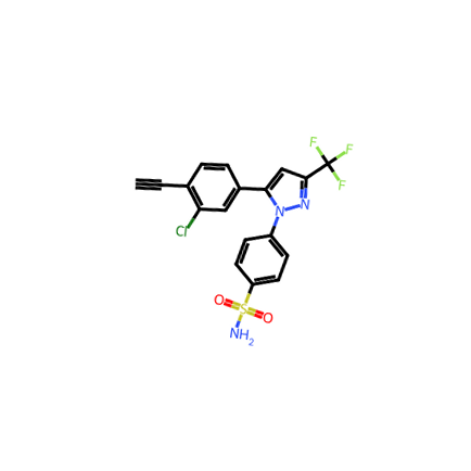 C#Cc1ccc(-c2cc(C(F)(F)F)nn2-c2ccc(S(N)(=O)=O)cc2)cc1Cl